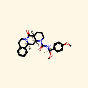 COc1ccc([C@](C)(NC(=O)N2CCC[C@H]3C(=O)N4CCc5ccccc5[C@@H]4C[C@H]32)OC)cc1